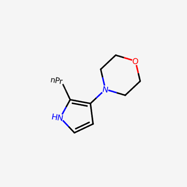 CCCc1[nH]ccc1N1CCOCC1